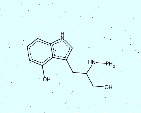 OCC(Cc1c[nH]c2cccc(O)c12)NP